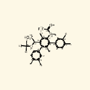 Cc1ccc(-c2c(C)c(-c3ccc(C)c(C)c3)c(N(C)C(=O)C(F)(F)F)c(C)c2C(OC(C)(C)I)C(=O)O)cc1C